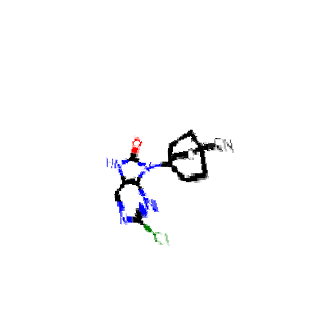 N#CC12CCC(n3c(=O)[nH]c4cnc(Cl)nc43)(CC1)CC2